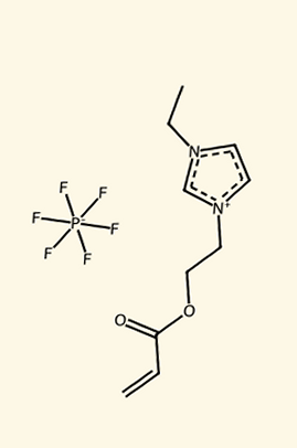 C=CC(=O)OCC[n+]1ccn(CC)c1.F[P-](F)(F)(F)(F)F